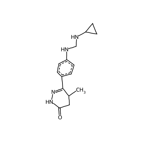 CC1CC(=O)NN=C1c1ccc(NCNC2CC2)cc1